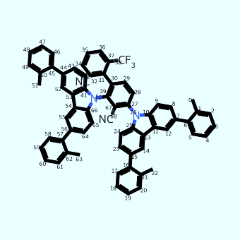 Cc1ccccc1-c1ccc2c(c1)c1cc(-c3ccccc3C)ccc1n2-c1ccc(-c2c(C#N)cccc2C(F)(F)F)c(-n2c3ccc(-c4ccccc4C)cc3c3cc(-c4ccccc4C)ccc32)c1C#N